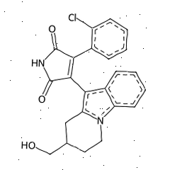 O=C1NC(=O)C(c2c3n(c4ccccc24)CCC(CO)C3)=C1c1ccccc1Cl